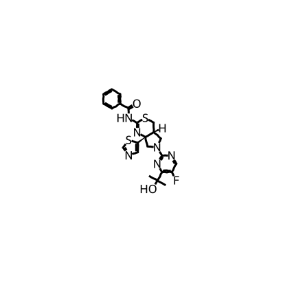 CC(C)(O)c1nc(N2C[C@H]3CSC(NC(=O)c4ccccc4)=N[C@@]3(c3cncs3)C2)ncc1F